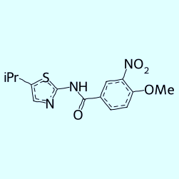 COc1ccc(C(=O)Nc2ncc(C(C)C)s2)cc1[N+](=O)[O-]